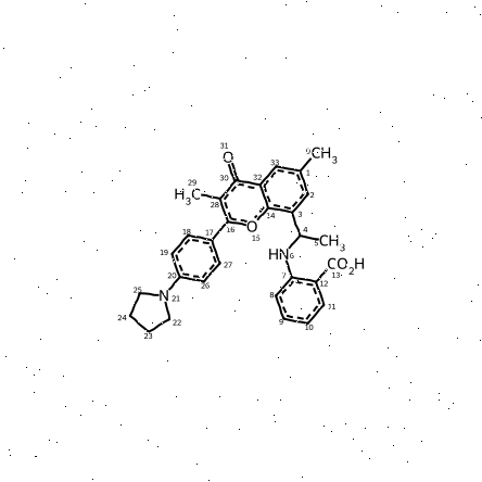 Cc1cc(C(C)Nc2ccccc2C(=O)O)c2oc(-c3ccc(N4CCCC4)cc3)c(C)c(=O)c2c1